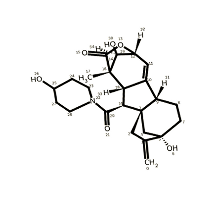 C=C1C[C@]23C[C@@]1(O)CC[C@H]2C1=C[C@H]2OC(=O)[C@@](C)([C@H]1[C@@H]3C(=O)N1CCC(O)CC1)[C@H]2O